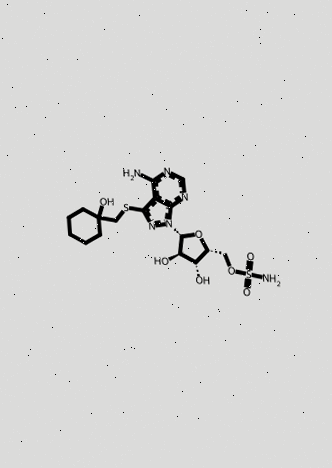 Nc1ncnc2c1c(SCC1(O)CCCCC1)nn2[C@@H]1O[C@H](COS(N)(=O)=O)[C@H](O)[C@H]1O